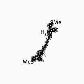 CSc1ccc(/C=C2/C(C)=C(CC(=O)OCCOCCOCCOCCOC(=O)CC3=C(C)/C(=C/c4ccc(SC)cc4)c4ccc(F)cc43)c3cc(F)ccc32)cc1